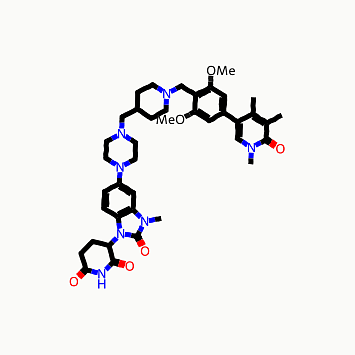 COc1cc(-c2cn(C)c(=O)c(C)c2C)cc(OC)c1CN1CCC(CN2CCN(c3ccc4c(c3)n(C)c(=O)n4C3CCC(=O)NC3=O)CC2)CC1